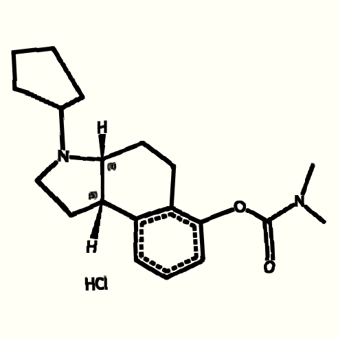 CN(C)C(=O)Oc1cccc2c1CC[C@@H]1[C@H]2CCN1C1CCCC1.Cl